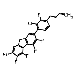 C=CCCc1ccc(-c2cc3c(c(F)c2F)-c2c(cc(CC)c(F)c2F)C3)c(Cl)c1F